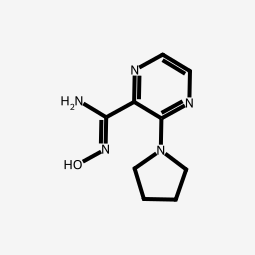 N/C(=N\O)c1nccnc1N1CCCC1